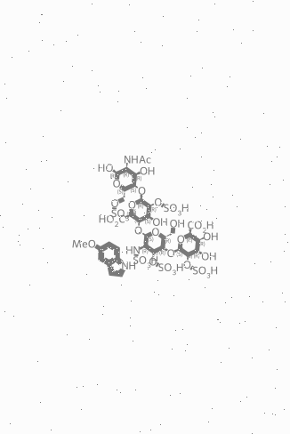 CC(=O)N[C@@H]1[C@@H](O)[C@H](O[C@@H]2O[C@H](C(=O)O)[C@@H](O[C@@H]3O[C@H](CO)[C@@H](O[C@H]4O[C@@H](C(=O)O)[C@H](O)[C@@H](O)[C@@H]4OS(=O)(=O)O)[C@H](OS(=O)(=O)O)[C@H]3NS(=O)(=O)O)[C@H](O)[C@H]2OS(=O)(=O)O)[C@H](COS(=O)(=O)O)O[C@H]1O.COc1ccc2[nH]ccc2c1